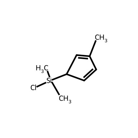 CC1=CC([Si](C)(C)Cl)C=C1